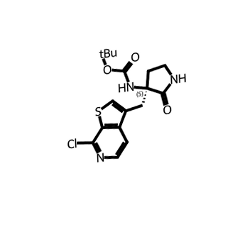 CC(C)(C)OC(=O)N[C@@]1(Cc2csc3c(Cl)nccc23)CCNC1=O